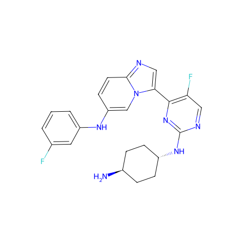 N[C@H]1CC[C@H](Nc2ncc(F)c(-c3cnc4ccc(Nc5cccc(F)c5)cn34)n2)CC1